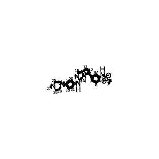 CCS(=O)(=O)Nc1cccc(-c2ccc3cnc(Nc4ccc(N5CCN(C)CC5)cc4)nn23)c1